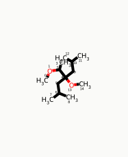 COC(C)C(CC(C)C)(CC(C)C)OC